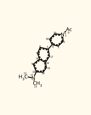 CC(=O)[n+]1ccc(-c2ccc3cc(N(C)C)ccc3c2)cc1